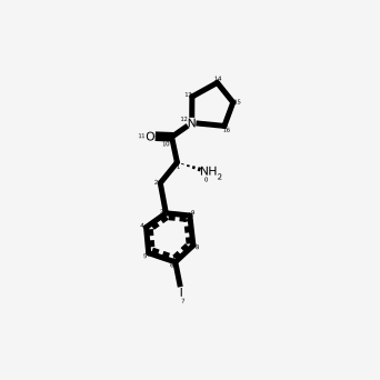 N[C@H](Cc1ccc(I)cc1)C(=O)N1CCCC1